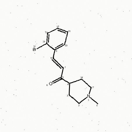 CN1CCC(C(=O)/C=C/c2ccccc2Br)CC1